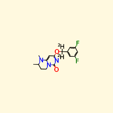 [2H]C([2H])(Oc1cc2n(c(=O)n1)CCC(C)N2C)c1cc(F)cc(F)c1